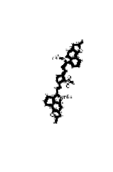 CCCCn1/c(=C/C=C2\CCC(/C=C/C3=[N+](CCCC)c4cc5c(c6cccc3c46)OC(C)C5)=C2S(C)(=O)=O)c2cccc3c4c(cc1c32)CC(C)O4